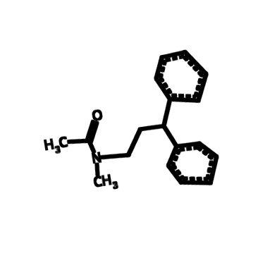 CC(=O)N(C)CCC(c1ccccc1)c1ccccc1